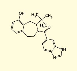 CC(C)(C)C1Cc2c(O)cccc2CCN1C(=O)c1ccc2nc[nH]c2c1